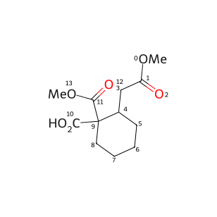 COC(=O)CC1CCCCC1(C(=O)O)C(=O)OC